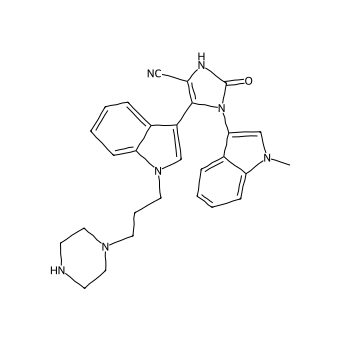 Cn1cc(-n2c(-c3cn(CCCN4CCNCC4)c4ccccc34)c(C#N)[nH]c2=O)c2ccccc21